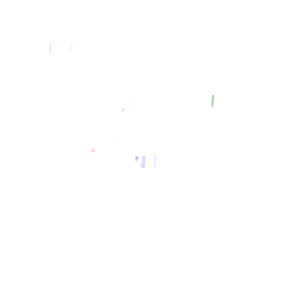 Cl.O=C(Nc1ccccc1-c1ccccc1)OC1CCNCC1